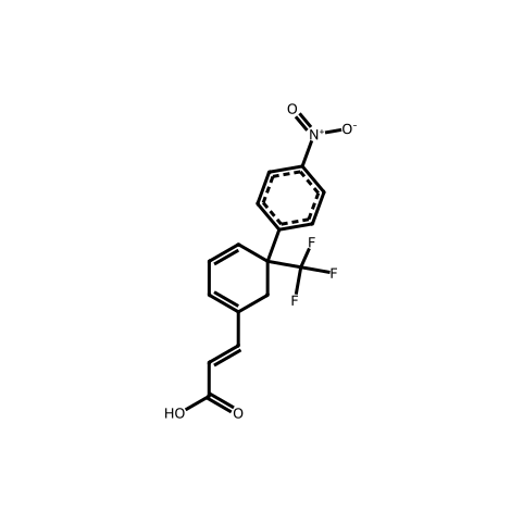 O=C(O)C=CC1=CC=CC(c2ccc([N+](=O)[O-])cc2)(C(F)(F)F)C1